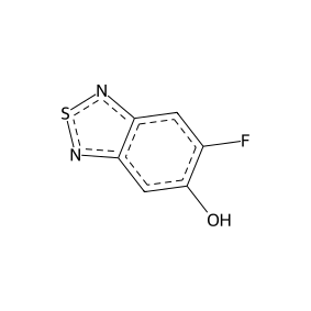 Oc1cc2nsnc2cc1F